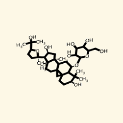 CC(C)(O)C1CC[C@](C)(C2[C@@H](O)C[C@@]3(C)C4C[C@H](OC5OC(CO)C(O)C(O)C5O)C5C(C)(C)[C@@H](O)CCC56CC46CC[C@]23C)O1